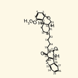 COc1cccc2c1[C@H]1CCN(CCCCn3c(=O)[nH]c4c(sc5ccccc54)c3=O)C[C@@H]1CO2